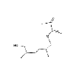 C=C(C)C(=O)OCC(C)CCC(C)CO